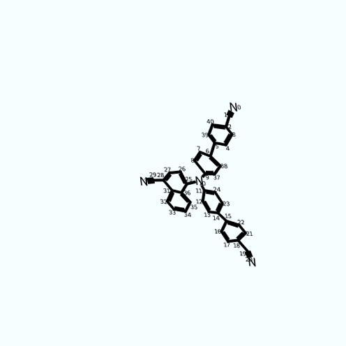 N#Cc1ccc(-c2ccc(N(c3ccc(-c4ccc(C#N)cc4)cc3)c3ccc(C#N)c4ccccc34)cc2)cc1